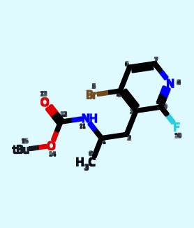 CC(Cc1c(Br)ccnc1F)NC(=O)OC(C)(C)C